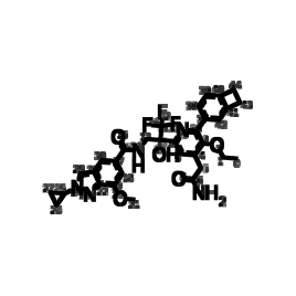 CCOc1c(CC(N)=O)cc([C@@](O)(CNC(=O)c2cc(OC)c3nn(C4CC4)cc3c2)C(F)(F)F)nc1-c1ccc2c(c1)CC2